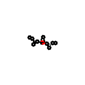 c1ccc2c(c1)C1c3cccc4c3C24c2c(-c3ccc4c(c3)c3ccccc3n4-c3ccc4ccccc4c3)ccc(-c3ccc4c(c3)c3ccccc3n4-c3ccc4ccccc4c3)c21